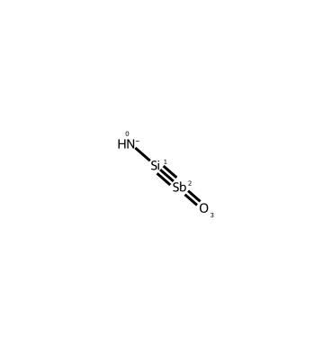 [NH-][Si]#[Sb]=[O]